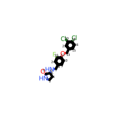 O=C1NCCC1NCc1ccc(OCc2ccc(Cl)c(Cl)c2)c(F)c1